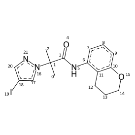 CC(C)(C(=O)Nc1cccc2c1CCCO2)n1cc(I)cn1